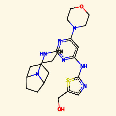 N#CCCN1C2CCC1CC(Nc1nc(Nc3ncc(CO)s3)cc(N3CCOCC3)n1)C2